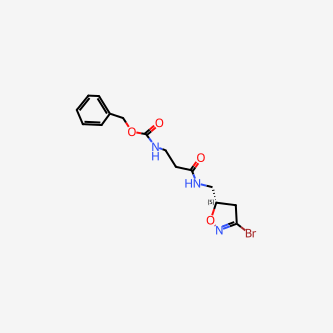 O=C(CCNC(=O)OCc1ccccc1)NC[C@@H]1CC(Br)=NO1